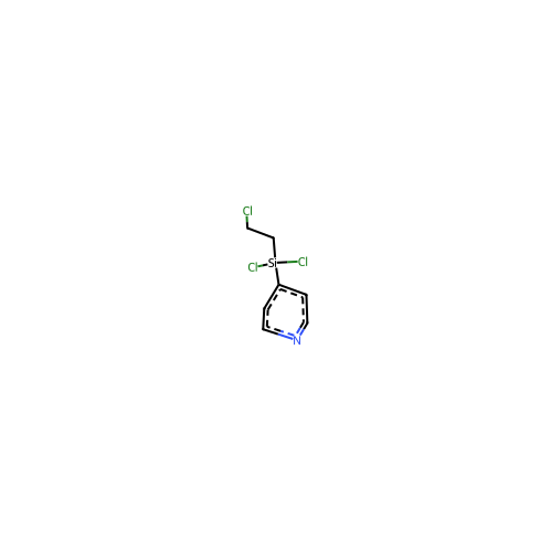 ClCC[Si](Cl)(Cl)c1ccncc1